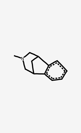 CN1CC2CC(C1)c1ccccc12